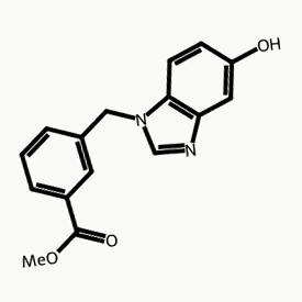 COC(=O)c1cccc(Cn2cnc3cc(O)ccc32)c1